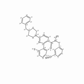 COc1cccc(CN(C(=O)c2cnc(N3CCC(Cc4ccccc4)CC3)nc2-c2ccccc2F)C(C)C)c1